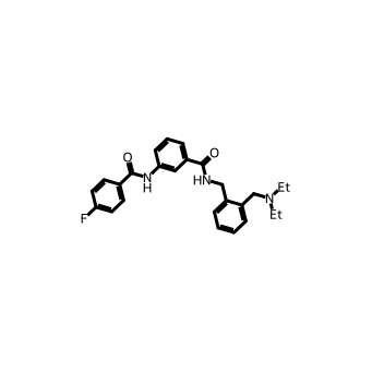 CCN(CC)Cc1ccccc1CNC(=O)c1cccc(NC(=O)c2ccc(F)cc2)c1